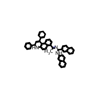 C/C(=N\C(Nc1ccc2ccccc2c1)c1ccc2ccccc2c1)c1cccc2c3c(ccc12)NC(c1ccccc1)C=C3C1=CCCC=C1